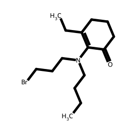 CCCCN(CCCBr)C1=C(CC)CCCC1=O